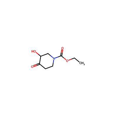 CCOC(=O)N1CCC(=O)C(O)C1